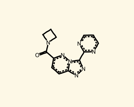 O=C(c1ccc2nnc(-c3ncccn3)n2n1)N1CCC1